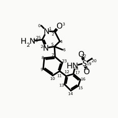 CN1C(=O)CC(C)(c2cccc(-c3ccccc3NS(C)(=O)=O)c2)N=C1N